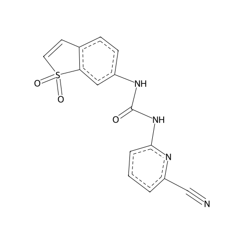 N#Cc1cccc(NC(=O)Nc2ccc3c(c2)S(=O)(=O)C=C3)n1